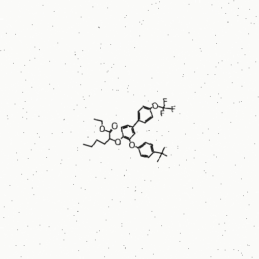 CCCCC(Oc1ccc(-c2ccc(OC(F)(F)F)cc2)cc1Oc1ccc(C(C)(C)C)cc1)C(=O)OCC